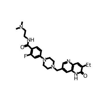 CCc1cc2ncc(CN3CCN(c4ccc(C(=O)NCCN(C)C)c(F)c4)CC3)cc2[nH]c1=O